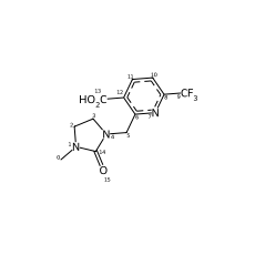 CN1CCN(Cc2nc(C(F)(F)F)ccc2C(=O)O)C1=O